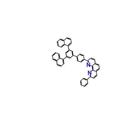 c1ccc(-c2ccc3ccc4ccc(-c5ccc(-c6cc(-c7cccc8ccccc78)cc(-c7cccc8ccccc78)c6)cc5)nc4c3n2)cc1